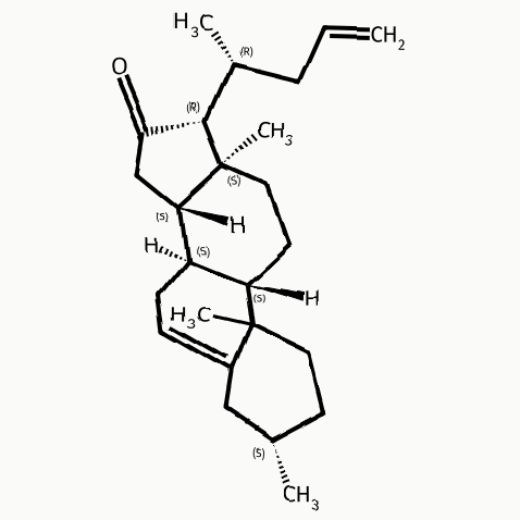 C=CC[C@@H](C)[C@H]1C(=O)C[C@H]2[C@@H]3CC=C4C[C@@H](C)CCC4(C)[C@H]3CC[C@]12C